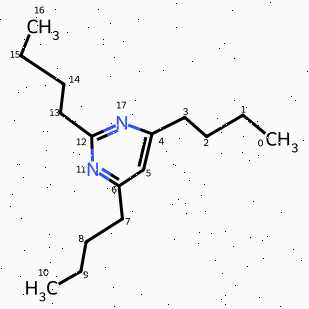 CCCCc1cc(CCCC)nc(CCCC)n1